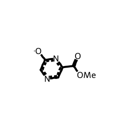 COC(=O)c1cncc([O])n1